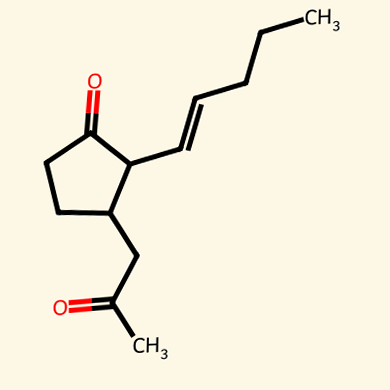 CCCC=CC1C(=O)CCC1CC(C)=O